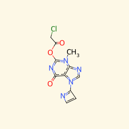 Cn1c(OC(=O)CCl)nc(=O)c2c1ncn2C1=NC=C1